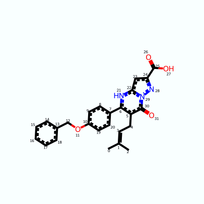 CC(C)=CCc1c(-c2ccc(OCc3ccccc3)cc2)[nH]c2cc(C(=O)O)nn2c1=O